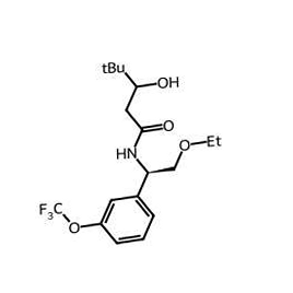 CCOC[C@H](NC(=O)CC(O)C(C)(C)C)c1cccc(OC(F)(F)F)c1